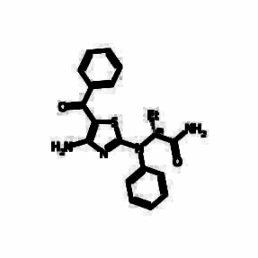 CC[C@H](C(N)=O)N(c1ccccc1)c1nc(N)c(C(=O)c2ccccc2)s1